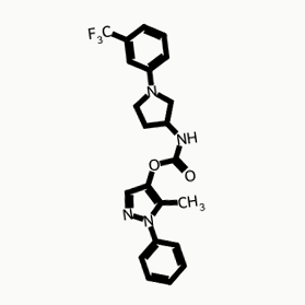 Cc1c(OC(=O)NC2CCN(c3cccc(C(F)(F)F)c3)C2)cnn1-c1ccccc1